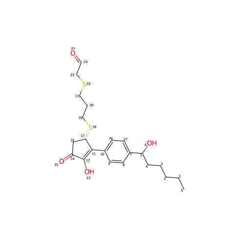 CCCCCC(O)c1ccc(C2=C(O)C(=O)C[C@@H]2SCCCSCC=O)cc1